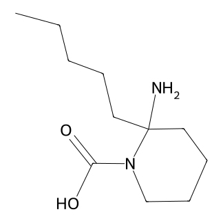 CCCCCC1(N)CCCCN1C(=O)O